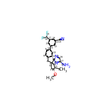 CO[C@@H]1CC[C@]2(Cc3ccc(-c4cc(C#N)cc(C(F)F)c4)cc3[C@@]23N=CC(N)=N3)CC1C